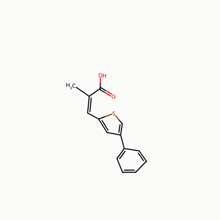 CC(=Cc1cc(-c2ccccc2)cs1)C(=O)O